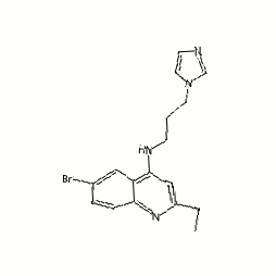 CCc1cc(NCCCn2ccnc2)c2cc(Br)ccc2n1